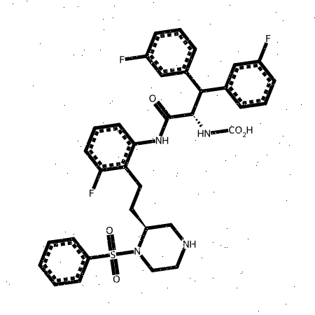 O=C(O)N[C@H](C(=O)Nc1cccc(F)c1CC[C@H]1CNCCN1S(=O)(=O)c1ccccc1)C(c1cccc(F)c1)c1cccc(F)c1